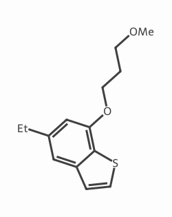 CCc1cc(OCCCOC)c2sccc2c1